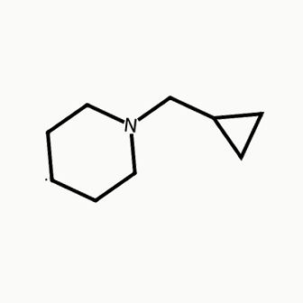 [CH]1CCN(CC2CC2)CC1